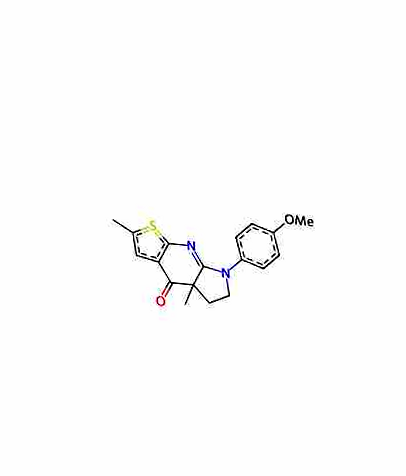 COc1ccc(N2CCC3(C)C(=O)c4cc(C)sc4N=C23)cc1